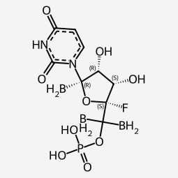 BC(B)(OP(=O)(O)O)[C@@]1(F)O[C@@](B)(n2ccc(=O)[nH]c2=O)[C@H](O)[C@@H]1O